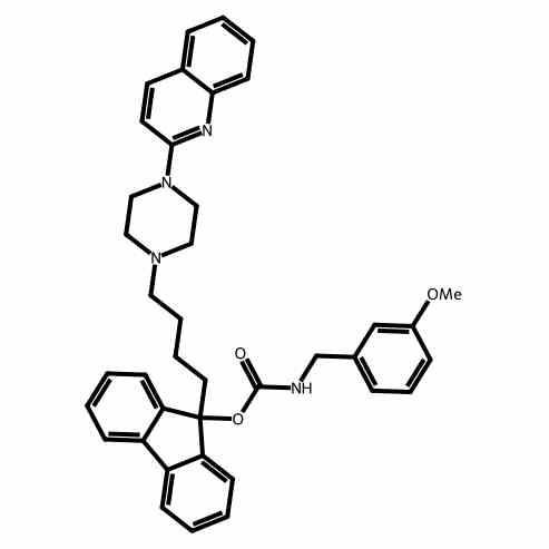 COc1cccc(CNC(=O)OC2(CCCCN3CCN(c4ccc5ccccc5n4)CC3)c3ccccc3-c3ccccc32)c1